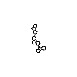 c1ccc2c(c1)sc1cc(-c3ccc4oc5cc(-n6c7ccccc7c7ccccc76)ccc5c4c3)ccc12